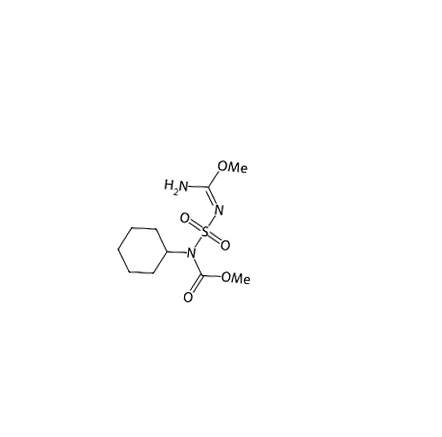 COC(=O)N(C1CCCCC1)S(=O)(=O)N=C(N)OC